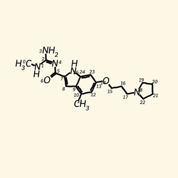 CNC(N)=NC(=O)c1cc2c(C)cc(OCCCN3CCCC3)cc2[nH]1